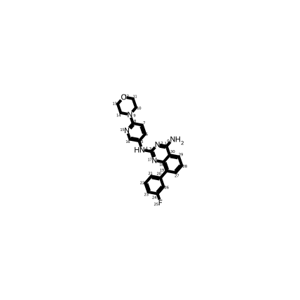 Nc1nc(Nc2ccc(N3CCOCC3)nc2)nc2c(-c3cccc(F)c3)cccc12